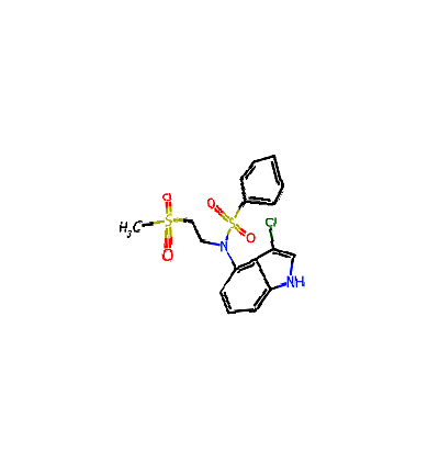 CS(=O)(=O)CCN(c1cccc2[nH]cc(Cl)c12)S(=O)(=O)c1ccccc1